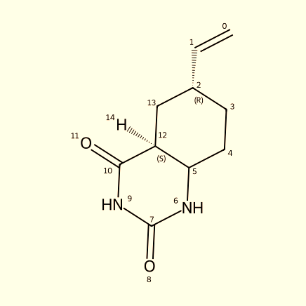 C=C[C@@H]1CCC2NC(=O)NC(=O)[C@H]2C1